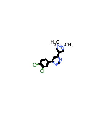 CN1C=C(c2cc(-c3ccc(Cl)c(Cl)c3)ncn2)CN1C